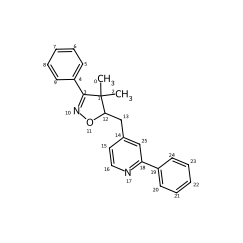 CC1(C)C(c2ccccc2)=NOC1Cc1ccnc(-c2ccccc2)c1